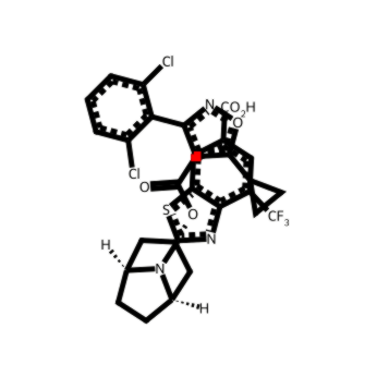 O=C(O)c1cc(C(F)(F)F)c2nc(N3[C@@H]4CC[C@H]3C[C@H](OC(=O)c3c(-c5c(Cl)cccc5Cl)noc3C3CC3)C4)sc2c1